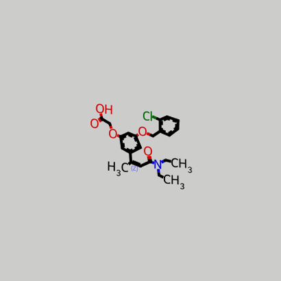 CCN(CC)C(=O)/C=C(/C)c1cc(OCC(=O)O)cc(OCc2ccccc2Cl)c1